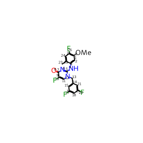 COc1cc(Nc2nc(=O)c(F)cn2Cc2cc(F)cc(F)c2)c(C)cc1F